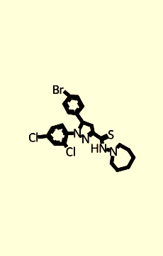 S=C(NN1CCCCCC1)C1=NN(c2ccc(Cl)cc2Cl)C(c2ccc(Br)cc2)C1